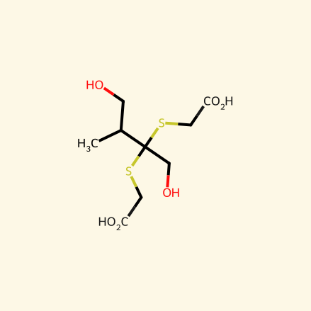 CC(CO)C(CO)(SCC(=O)O)SCC(=O)O